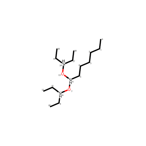 CCCCCC[SiH](O[SiH](CC)CC)O[SiH](CC)CC